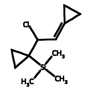 C[Si](C)(C)C1(C(Cl)C=C2CC2)CC1